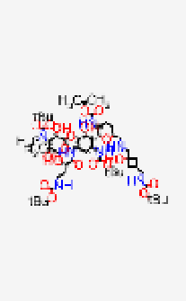 C=C(C)OC(=O)N[C@@H]1CC=C(CNCC2(O)CC(CNC(=O)OC(C)(C)C)C2)OC1[C@H]1[C@H](O)[C@@H](O[C@H]2OC[C@](C)(O)[C@H](N(C)C(=O)OC(C)(C)C)[C@H]2O)[C@H](NC(=O)[C@@H](O)CCNC(=O)OC(C)(C)C)C[C@@H]1NC(=O)OC(C)(C)C